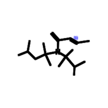 C=C(/C=C/C)N(C(C)(C)CC(C)C)C(C)(C)C(C)C